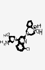 NC1CN(c2cc(N3CCS(O)(O)c4ccccc4C3)nc3c(Cl)cccc23)CC1O